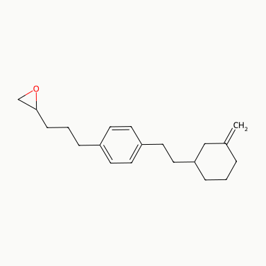 C=C1CCCC(CCc2ccc(CCCC3CO3)cc2)C1